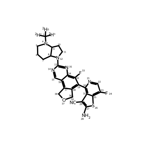 [2H]C([2H])([2H])N1CCCC2C1CCN2c1ncc2c3c(c(-c4ncc(F)c5sc(N)c(C#N)c45)c(F)c2n1)COC3